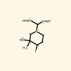 CCCCCCCC(CCCCCCC)N1CCC(F)C(C)(O)C1